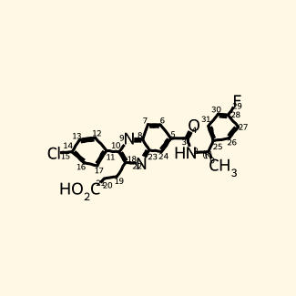 C[C@@H](NC(=O)c1ccc2nc(-c3ccc(Cl)cc3)c(CCC(=O)O)nc2c1)c1ccc(F)cc1